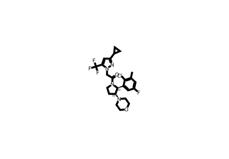 Cc1cc(F)cc([C@H]2[C@@H](N3CCOCC3)CCN2C(=O)Cn2nc(C3CC3)cc2C(F)(F)F)c1Cl